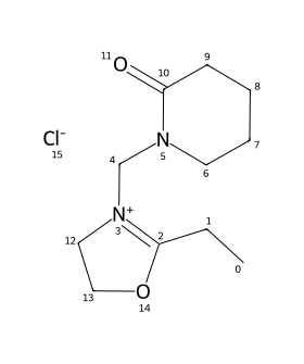 CCC1=[N+](CN2CCCCC2=O)CCO1.[Cl-]